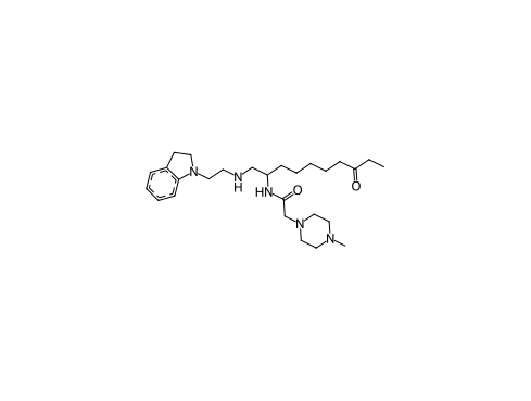 CCC(=O)CCCCCC(CNCCN1CCc2ccccc21)NC(=O)CN1CCN(C)CC1